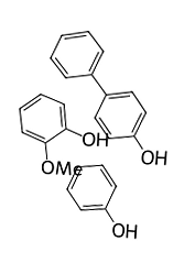 COc1ccccc1O.Oc1ccc(-c2ccccc2)cc1.Oc1ccccc1